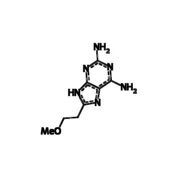 COCCc1nc2c(N)nc(N)nc2[nH]1